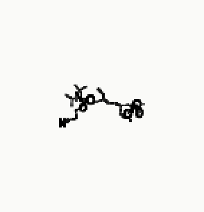 C=C/C(=C\C=C(/C=C)CP(=O)(OC)OC)COP(OCCC#N)N(C(C)C)C(C)C